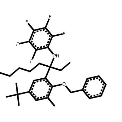 CCCCCC(CC)(Pc1c(F)c(F)c(F)c(F)c1F)c1cc(C(C)(C)C)cc(C)c1OCc1ccccc1